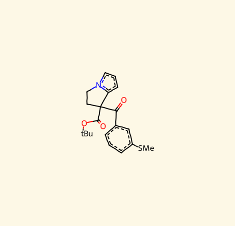 CSc1cccc(C(=O)C2(C(=O)OC(C)(C)C)CCn3cccc32)c1